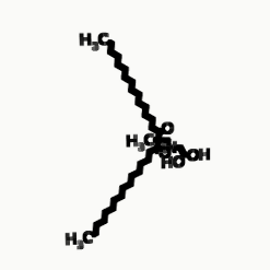 CCCCCCCCCCCCCCCC(=O)C(C)(CNCC(O)O)C(=O)CCCCCCCCCCCCCCC